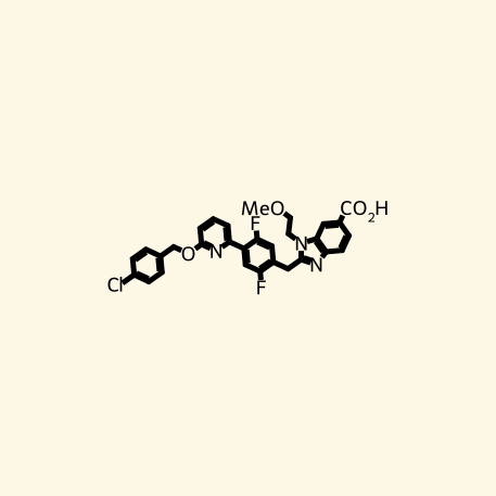 COCCn1c(Cc2cc(F)c(-c3cccc(OCc4ccc(Cl)cc4)n3)cc2F)nc2ccc(C(=O)O)cc21